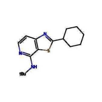 CC(C)(C)Nc1nccc2nc(C3CCCCC3)sc12